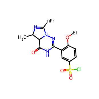 CCCC1=NC(C)C2C(=O)NC(c3cc(S(=O)(=O)Cl)ccc3OCC)=NN12